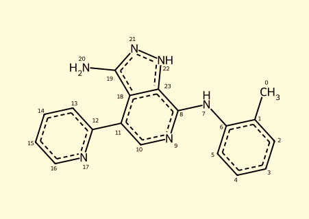 Cc1ccccc1Nc1ncc(-c2ccccn2)c2c(N)n[nH]c12